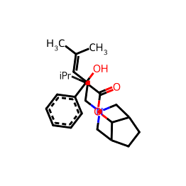 CC(C)=CCCN1CC2CCC(C1)C2OC(=O)C(O)(c1ccccc1)C(C)C